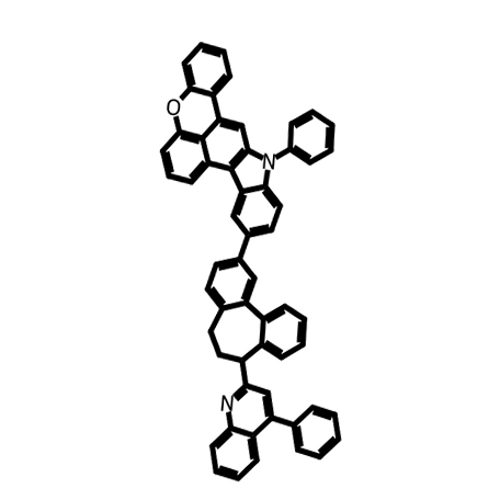 c1ccc(-c2cc(C3CCc4ccc(-c5ccc6c(c5)c5c7cccc8c7c(cc5n6-c5ccccc5)-c5ccccc5O8)cc4-c4ccccc43)nc3ccccc23)cc1